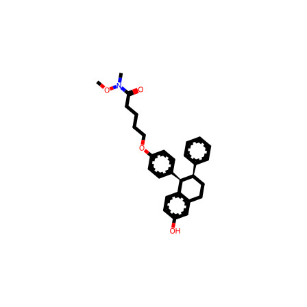 CON(C)C(=O)CCCCOc1ccc([C@@H]2c3ccc(O)cc3CC[C@@H]2c2ccccc2)cc1